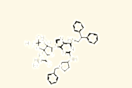 CCNC(=O)[C@H]1O[C@@H](n2cnc3c(NCC(c4ccccc4)c4ccccc4)nc(NC4CCN(Cc5ccccc5)C4)nc32)[C@@H]2OC(C)(C)O[C@H]21